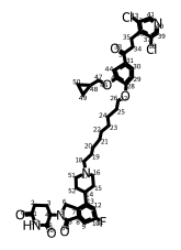 O=C1CCC(N2Cc3c(cc(F)cc3C3CCN(CCCCCCCCCOc4ccc(C(=O)CCc5c(Cl)cncc5Cl)cc4OCC4CC4)CC3)C2=O)C(=O)N1